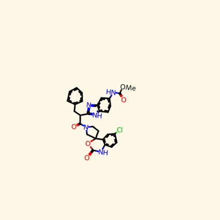 COC(=O)Nc1ccc2[nH]c(C(Cc3ccccc3)C(=O)N3CCC4(C3)OC(=O)Nc3ccc(Cl)cc34)nc2c1